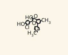 Cc1cc(-c2cc[n+](C)cc2)c2oc(-c3ccc(O)c(Cl)c3)c(O)c(=O)c2c1